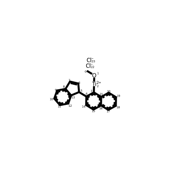 C[O][Ti+2][c]1c(C2C=Cc3ccccc32)ccc2ccccc12.[Cl-].[Cl-]